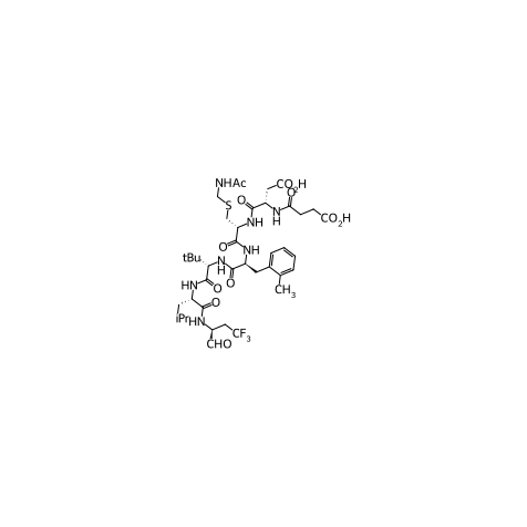 CC(=O)NCSC[C@H](NC(=O)[C@H](CC(=O)O)NC(=O)CCC(=O)O)C(=O)N[C@@H](Cc1ccccc1C)C(=O)N[C@H](C(=O)N[C@@H](CC(C)C)C(=O)N[C@H](C=O)CC(F)(F)F)C(C)(C)C